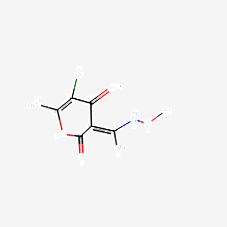 CCCC(NOCC)=C1C(=O)OC(CCC)=C(Br)C1=O